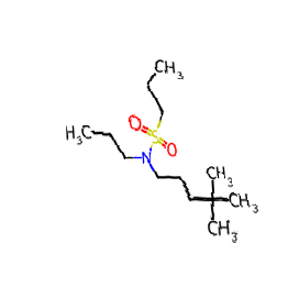 CCCN(CCCC(C)(C)C)S(=O)(=O)CCC